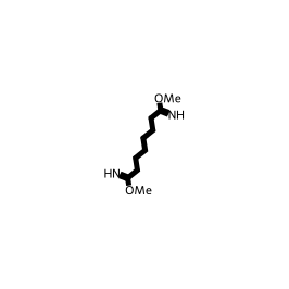 COC(=N)CCCCCCC(=N)OC